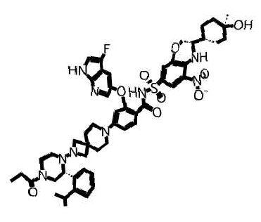 CCC(=O)N1CCN(N2CC3(CCN(c4ccc(C(=O)NS(=O)(=O)c5cc6c(c([N+](=O)[O-])c5)N[C@@H]([C@H]5CC[C@](C)(O)CC5)CO6)c(Oc5cnc6[nH]cc(F)c6c5)c4)CC3)C2)[C@H](c2ccccc2C(C)C)C1